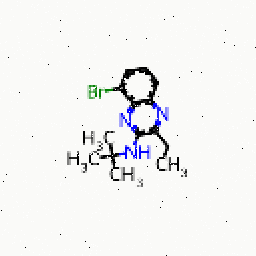 CCc1nc2cccc(Br)c2nc1NC(C)(C)C